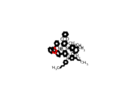 CCCCc1ccc(N(c2ccc(CCCC)cc2)c2cc3c4c(c2)N(c2cc5c(cc2C)C(C)(C)CCC5(C)C)c2cc5c(cc2B4N(c2ccccc2-c2ccccc2)c2c-3ccc3c2oc2ccccc23)Oc2ccccc2O5)cc1